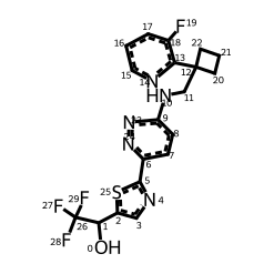 OC(c1cnc(-c2ccc(NCC3(c4ncccc4F)CCC3)nn2)s1)C(F)(F)F